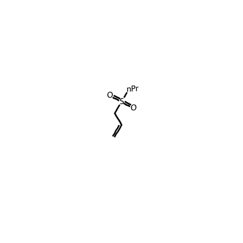 C=CCS(=O)(=O)CCC